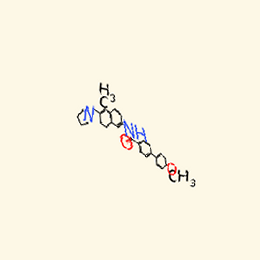 COc1ccc(-c2ccc(C(=O)Nc3ccc4c(c3)CCC(CN3CCCC3)=C4C)cc2)cc1